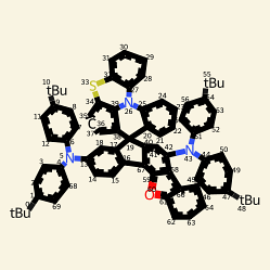 CC(C)(C)c1ccc(N(c2ccc(C(C)(C)C)cc2)c2ccc3c(c2)C2(c4ccccc4N4c5ccccc5Sc5cccc2c54)c2cc(N(c4ccc(C(C)(C)C)cc4)c4ccc(C(C)(C)C)cc4)c4c(oc5ccccc54)c2-3)cc1